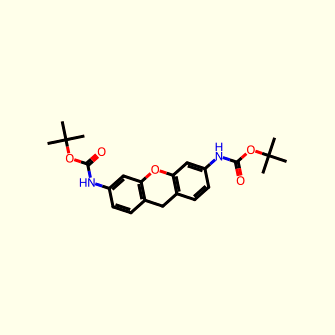 CC(C)(C)OC(=O)Nc1ccc2c(c1)Oc1cc(NC(=O)OC(C)(C)C)ccc1C2